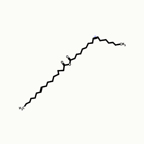 CCCCCCC=CCCCCCCCC(=O)OC(=O)CCCCCCC/C=C\CCCCCC